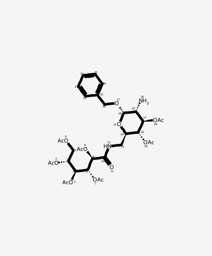 CC(=O)OC[C@@H](OC(C)=O)[C@H](OC(C)=O)[C@@H](OC(C)=O)[C@@H](OC(C)=O)C(=O)NC[C@H]1O[C@H](OCc2ccccc2)[C@H](N)[C@@H](OC(C)=O)[C@@H]1OC(C)=O